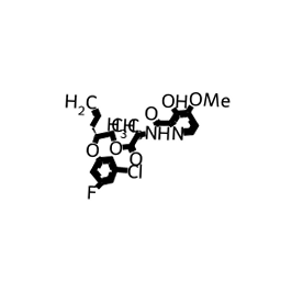 C=CC[C@@H](Oc1cc(F)cc(Cl)c1)[C@H](C)OC(=O)[C@H](C)NC(=O)c1nccc(OC)c1O